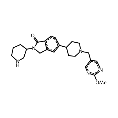 COc1ncc(CN2CCC(c3ccc4c(c3)CN(C3CCCNC3)C4=O)CC2)cn1